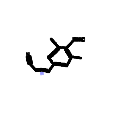 Cc1cc(/C=C\C#N)cc(C)c1N=O